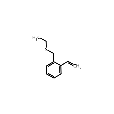 C=Cc1ccccc1CSCC